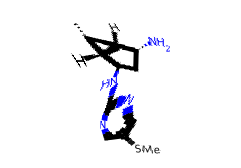 CSc1cnc(N[C@@H]2C[C@@H](N)[C@H]3[C@@H](C)[C@H]32)nc1